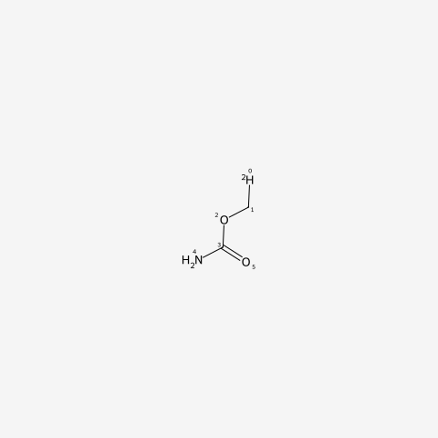 [2H]COC(N)=O